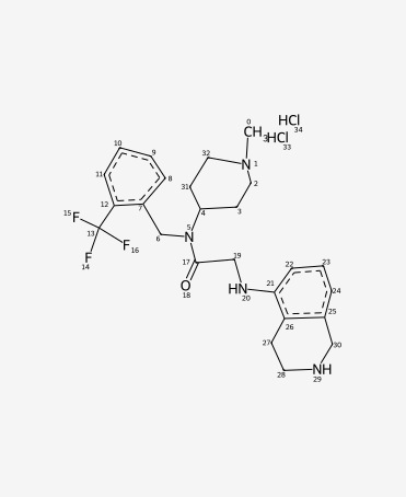 CN1CCC(N(Cc2ccccc2C(F)(F)F)C(=O)CNc2cccc3c2CCNC3)CC1.Cl.Cl